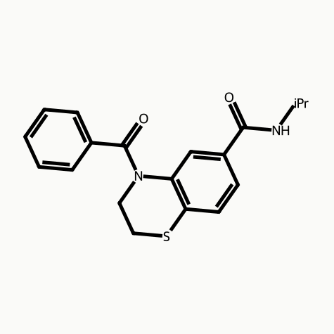 CC(C)NC(=O)c1ccc2c(c1)N(C(=O)c1ccccc1)CCS2